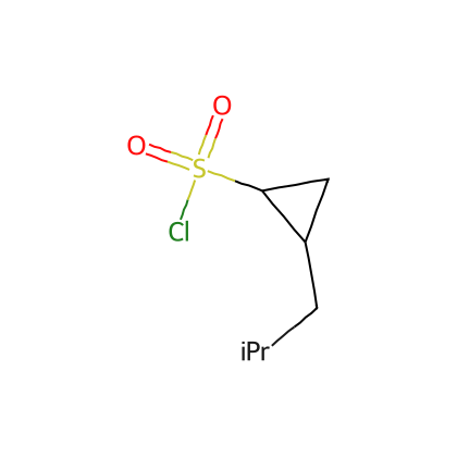 CC(C)CC1CC1S(=O)(=O)Cl